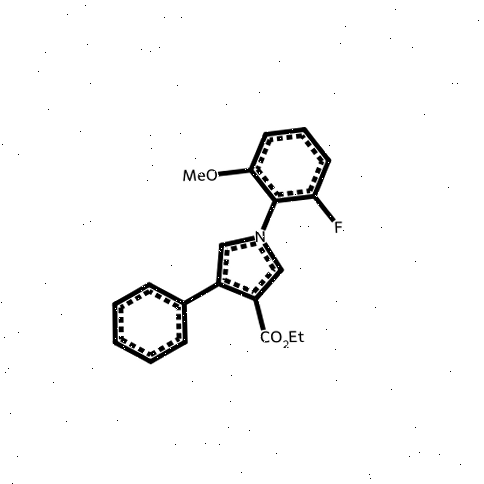 CCOC(=O)c1cn(-c2c(F)cccc2OC)cc1-c1ccccc1